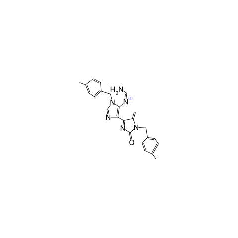 C=C1C(c2ncn(Cc3ccc(C)cc3)c2/N=C\N)=NC(=O)N1Cc1ccc(C)cc1